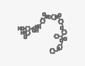 O=C(OCC1CCN(Cc2ccccc2)CC1)C(c1ccccc1)c1cccc(OCc2ccc(C(=O)N3CCC4(CC3)CN(C(=O)c3ccc(CCNC[C@H](O)c5ccc(O)c6[nH]c(=O)ccc56)cc3)C4)cc2)c1